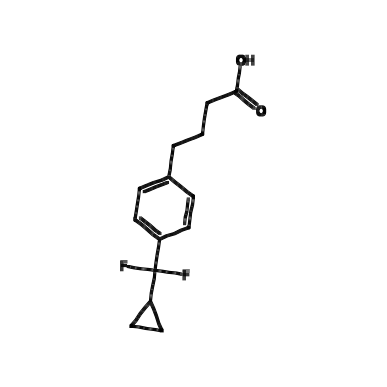 O=C(O)CCCc1ccc(C(F)(F)C2CC2)cc1